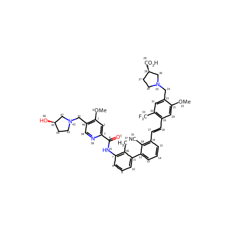 COc1cc(C(=O)Nc2cccc(-c3cccc(/C=C/c4cc(OC)c(CN5CC[C@@H](C(=O)O)C5)cc4C(F)(F)F)c3C#N)c2C)ncc1CN1CC[C@@H](O)C1